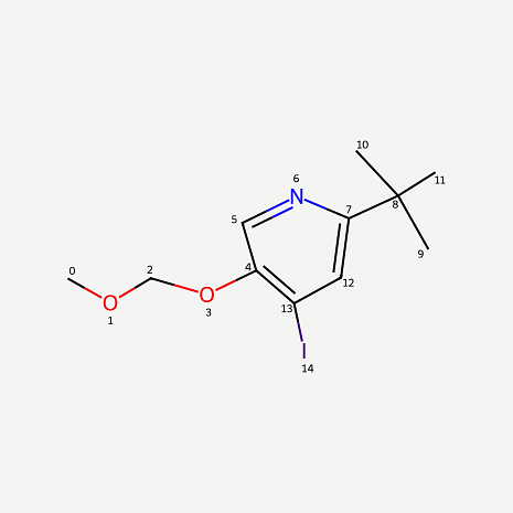 COCOc1cnc(C(C)(C)C)cc1I